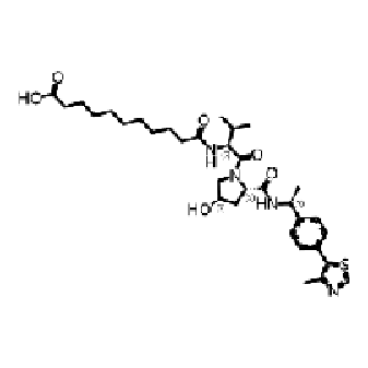 Cc1ncsc1-c1ccc([C@H](C)NC(=O)[C@@H]2C[C@@H](O)CN2C(=O)[C@@H](NC(=O)CCCCCCCCCC(=O)O)C(C)C)cc1